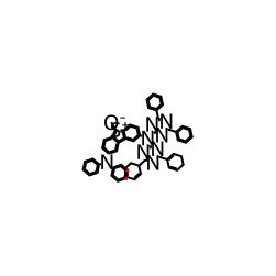 [O-][s+]1c2ccc(N(c3ccccc3)c3ccccc3)cc2c2cc(N(c3nc(-c4ccccc4)nc(-c4ccccc4)n3)c3nc(C4=CCCC=C4)nc(C4C=CC=CC4)n3)ccc21